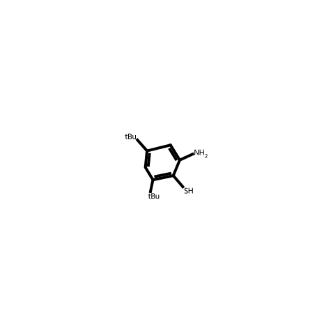 CC(C)(C)c1cc(N)c(S)c(C(C)(C)C)c1